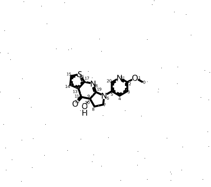 COc1ccc(N2CC[C@@]3(O)C(=O)c4ccsc4N=C23)cn1